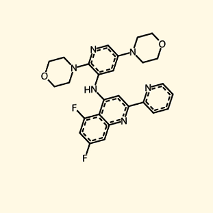 Fc1cc(F)c2c(Nc3cc(N4CCOCC4)cnc3N3CCOCC3)cc(-c3ccccn3)nc2c1